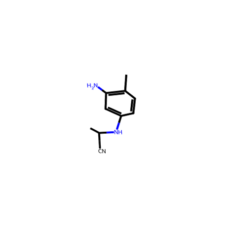 Cc1ccc(NC(C)C#N)cc1N